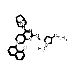 CO[C@@H]1C[C@@H](COc2nc3c(c(N4CC5CCC(C4)N5)n2)CCN(c2cccc4cccc(Cl)c24)C3)N(C)C1